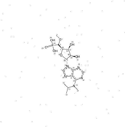 COC([C@@H]1O[C@@H](n2cnc3c(N(C)C(C)C)ncnc32)[C@H](O)[C@@H]1O)P(=O)(O)O